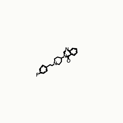 O=c1c2ccccc2ncn1C1CCN(CCc2ccc(F)cc2)CC1